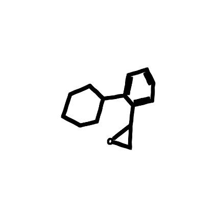 c1ccc(C2CO2)c(C2CCCCC2)c1